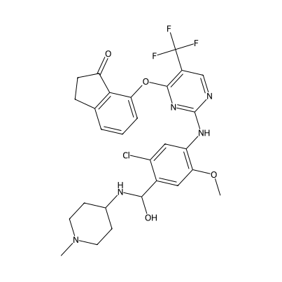 COc1cc(C(O)NC2CCN(C)CC2)c(Cl)cc1Nc1ncc(C(F)(F)F)c(Oc2cccc3c2C(=O)CC3)n1